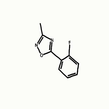 Cc1noc(-c2ccccc2F)n1